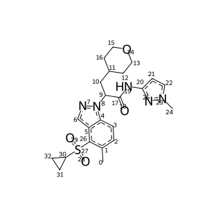 Cc1ccc2c(cnn2C(CC2CCOCC2)C(=O)Nc2ccn(C)n2)c1S(=O)(=O)C1CC1